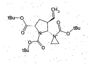 C=C[C@@H]1C[C@@H](C(=O)OC(C)(C)C)N(C(=O)OC(C)(C)C)[C@H]1[N+]1(C(=O)OC(C)(C)C)CC1